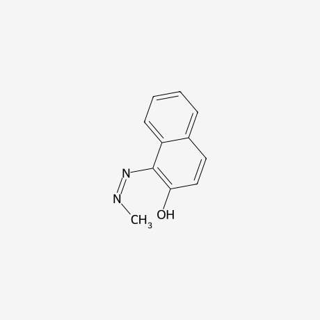 C/N=N\c1c(O)ccc2ccccc12